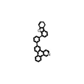 C1=Cc2oc3c(-c4cccc(-c5ccc6c7ccccc7c7cnccc7c6c5)c4)cccc3c2CC1